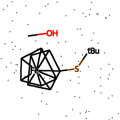 CC(C)(C)S[C]12[CH]3[CH]4[CH]5[CH]1[Fe]45321678[CH]2[CH]1[CH]6[CH]7[CH]28.CO